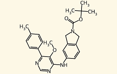 COc1c(Nc2ccc3c(c2)CN(C(=O)OC(C)(C)C)C3)ncnc1-c1ccc(C)cc1